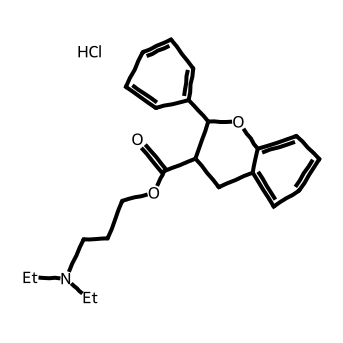 CCN(CC)CCCOC(=O)C1Cc2ccccc2OC1c1ccccc1.Cl